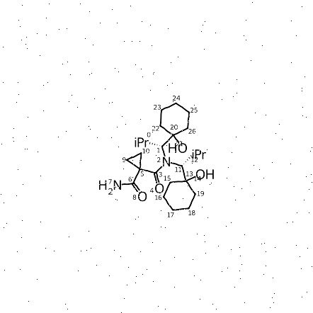 CC(C)[C@@H](N(C(=O)C1(C(N)=O)CC1)[C@H](C(C)C)C1(O)CCCCC1)C1(O)CCCCC1